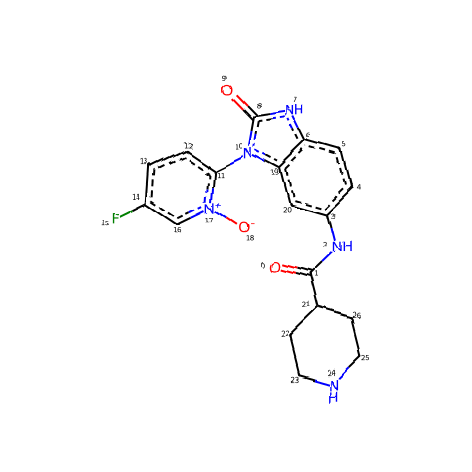 O=C(Nc1ccc2[nH]c(=O)n(-c3ccc(F)c[n+]3[O-])c2c1)C1CCNCC1